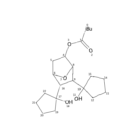 CCC(C)C(=O)OC1CC2OC1C(C1(O)CCCC1)C2C1(O)CCCC1